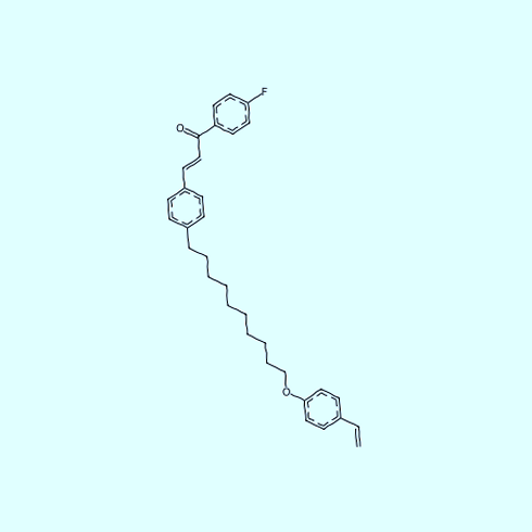 C=Cc1ccc(OCCCCCCCCCCc2ccc(C=CC(=O)c3ccc(F)cc3)cc2)cc1